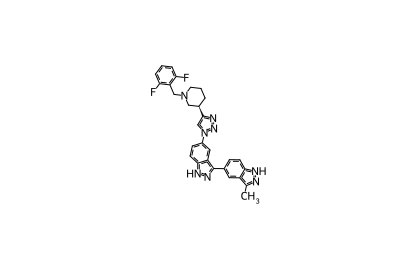 Cc1n[nH]c2ccc(-c3n[nH]c4ccc(-n5cc([C@@H]6CCCN(Cc7c(F)cccc7F)C6)nn5)cc34)cc12